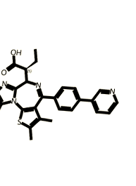 CC[C@H](C(=O)O)C1N=C(c2ccc(-c3cccnc3)cc2)c2c(sc(C)c2C)-n2c(C)nnc21